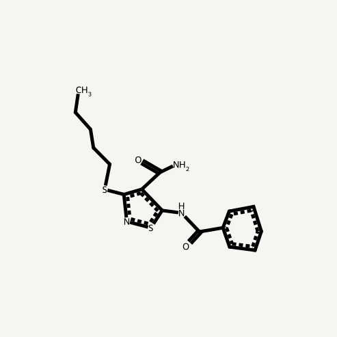 CCCCCSc1nsc(NC(=O)c2ccccc2)c1C(N)=O